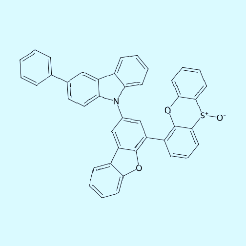 [O-][S+]1c2ccccc2Oc2c(-c3cc(-n4c5ccccc5c5cc(-c6ccccc6)ccc54)cc4c3oc3ccccc34)cccc21